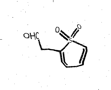 O=CCC1=CC=CS1(=O)=O